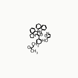 C1=CC(C2=C(N3CCCC3)C(C3=CCCC=C3)(c3ccccc3)N(c3ccccc3)O2)=CCC1.C=CC(C)=O.Oc1ccno1